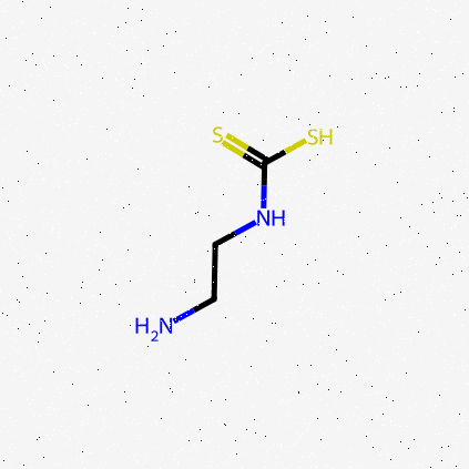 NCCNC(=S)S